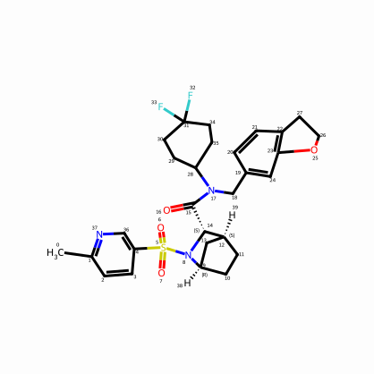 Cc1ccc(S(=O)(=O)N2[C@@H]3CC[C@@H](C3)[C@H]2C(=O)N(Cc2ccc3c(c2)OCC3)C2CCC(F)(F)CC2)cn1